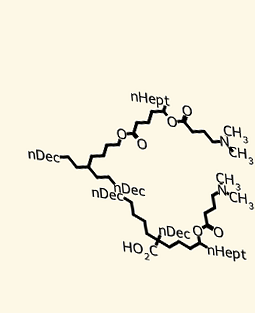 CCCCCCCCCCCCC(CCCCCCCCCCCC)CCCCOC(=O)CCCC(CCCCCCC)OC(=O)CCCN(C)C.CCCCCCCCCCCCCCC(CCCCCCCCCC)(CCCC(CCCCCCC)OC(=O)CCCN(C)C)C(=O)O